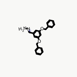 N/N=C/c1cc(OCc2ccccc2)cc(OCc2ccccc2)c1